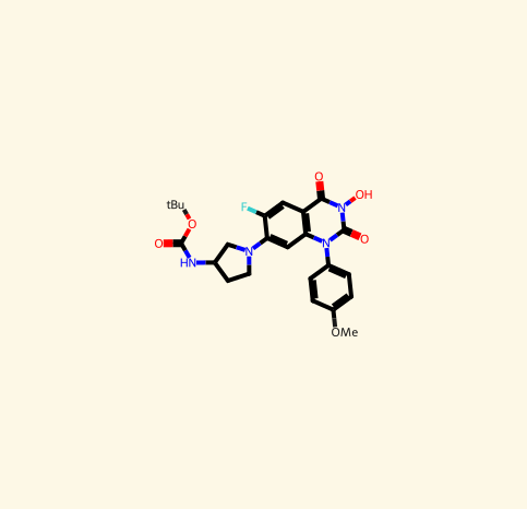 COc1ccc(-n2c(=O)n(O)c(=O)c3cc(F)c(N4CCC(NC(=O)OC(C)(C)C)C4)cc32)cc1